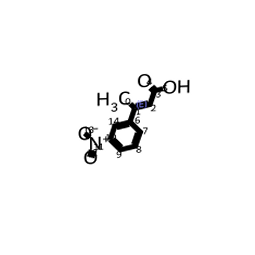 C/C(=C\C(=O)O)c1cccc([N+](=O)[O-])c1